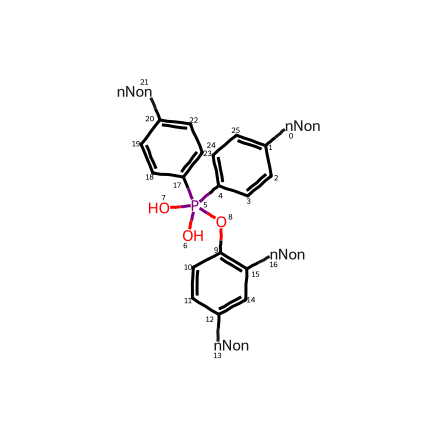 CCCCCCCCCc1ccc(P(O)(O)(Oc2ccc(CCCCCCCCC)cc2CCCCCCCCC)c2ccc(CCCCCCCCC)cc2)cc1